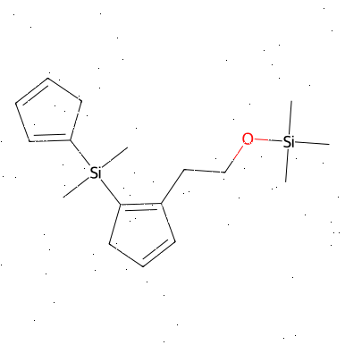 C[Si](C)(C)OCCC1=C([Si](C)(C)C2=CC=CC2)CC=C1